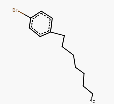 CC(=O)CCCCCCCc1ccc(Br)cc1